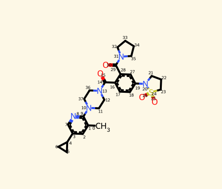 Cc1cc(C2CC2)cnc1N1CCN(C(=O)c2ccc(N3CCCS3(=O)=O)cc2C(=O)N2CCCC2)CC1